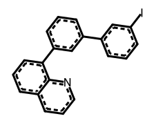 Ic1cccc(-c2cccc(-c3cccc4cccnc34)c2)c1